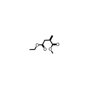 C=C(CC(=O)OCC)C(=O)OC